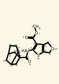 COC(=O)c1c([AsH]C(=O)C23CC4CC(CC(C4)O2)C3)sc2c1COC2